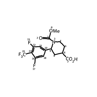 COC(=O)N1CCC(C(=O)O)CC1c1cc(F)c(C(F)(F)F)c(F)c1